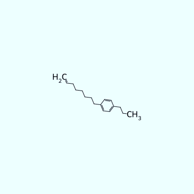 C=CCCCCCCc1ccc(CCC)cc1